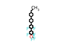 CCCC1CCC(C2CCC(c3cc(F)c(-c4cc(F)c(OC(F)(F)F)c(F)c4)c(F)c3)CC2)CC1